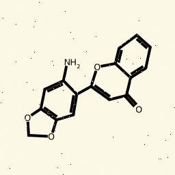 Nc1cc2c(cc1-c1cc(=O)c3ccccc3o1)OCO2